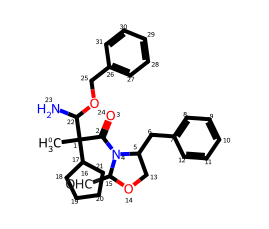 CC(C(=O)N1C(Cc2ccccc2)COC1C=O)(C1CCCC1)C(N)OCc1ccccc1